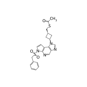 CC(=O)SC[C@H]1C[C@@H](n2cnc3cnc4c(ccn4S(=O)(=O)Cc4ccccc4)c32)C1